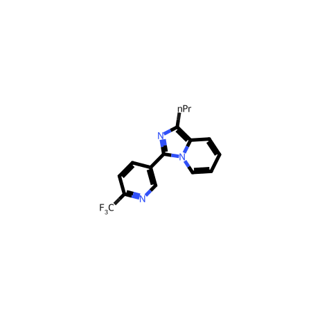 CCCc1nc(-c2ccc(C(F)(F)F)nc2)n2ccccc12